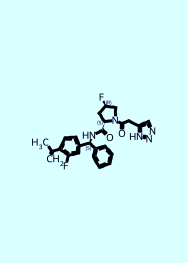 C=C(C)c1ccc([C@@H](NC(=O)[C@@H]2C[C@@H](F)CN2C(=O)Cc2cnn[nH]2)c2ccccc2)cc1F